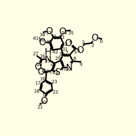 COCCOC(=O)c1c(C)nc2sc(C(=O)c3ccc(OC)cc3)c(NC(C)=O)c2c1-c1cc(OC)c(OC)c(OC)c1